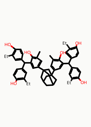 CCc1cc(C(c2ccc(O)c(CC)c2)c2cc(C34CC5CC(C3)CC(c3cc(C)c(O)c(C(c6ccc(O)c(CC)c6)c6ccc(O)c(CC)c6)c3)(C5)C4)cc(C)c2O)ccc1O